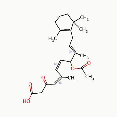 CC(=O)OC(/C=C\C(C)=C/C(=O)CC(=O)O)/C(C)=C/CC1=C(C)CCCC1(C)C